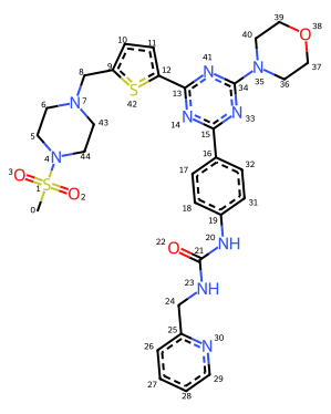 CS(=O)(=O)N1CCN(Cc2ccc(-c3nc(-c4ccc(NC(=O)NCc5ccccn5)cc4)nc(N4CCOCC4)n3)s2)CC1